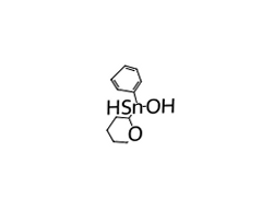 [OH][SnH]([c]1ccccc1)[CH]1CCCCO1